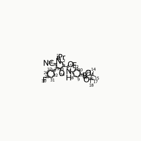 CC(C)n1cc(C(=O)Nc2ccc(B3OC(C)(C)C(C)(C)O3)cc2F)c(=O)c(-c2ccc(F)cc2)c1C#N